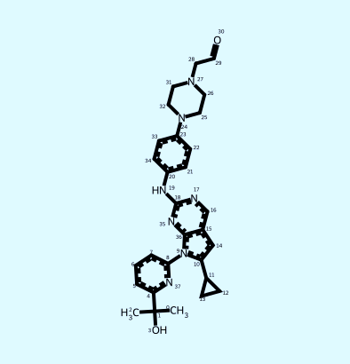 CC(C)(O)c1cccc(-n2c(C3CC3)cc3cnc(Nc4ccc(N5CCN(CC=O)CC5)cc4)nc32)n1